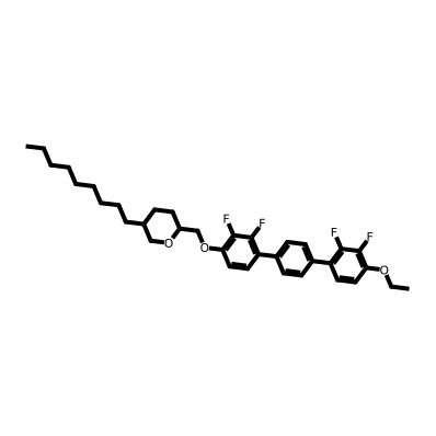 CCCCCCCCCC1CCC(COc2ccc(-c3ccc(-c4ccc(OCC)c(F)c4F)cc3)c(F)c2F)OC1